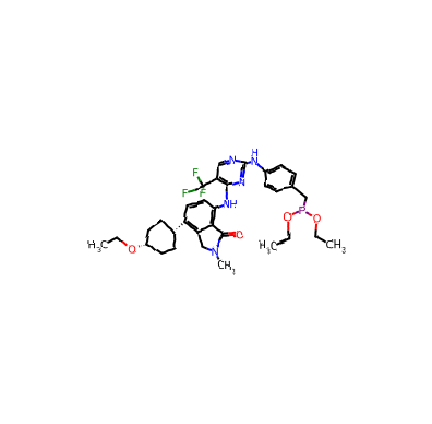 CCOP(Cc1ccc(Nc2ncc(C(F)(F)F)c(Nc3ccc([C@H]4CC[C@@H](OCC)CC4)c4c3C(=O)N(C)C4)n2)cc1)OCC